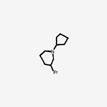 CC(C)C1CCCN(C2CCCC2)C1